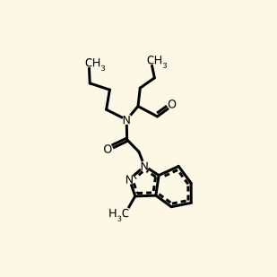 CCCCN(C(=O)Cn1nc(C)c2ccccc21)C(C=O)CCC